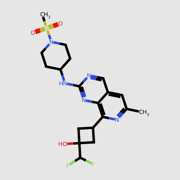 Cc1cc2cnc(NC3CCN(S(C)(=O)=O)CC3)nc2c(C2CC(O)(C(F)F)C2)n1